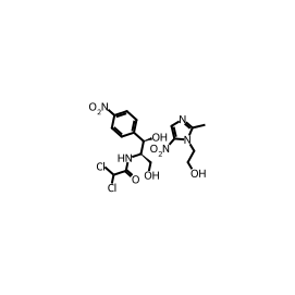 Cc1ncc([N+](=O)[O-])n1CCO.O=C(N[C@H](CO)[C@H](O)c1ccc([N+](=O)[O-])cc1)C(Cl)Cl